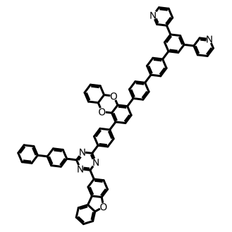 C1=CC2Oc3c(-c4ccc(-c5ccc(-c6cc(-c7cccnc7)cc(-c7cccnc7)c6)cc5)cc4)ccc(-c4ccc(-c5nc(-c6ccc(-c7ccccc7)cc6)nc(-c6ccc7oc8ccccc8c7c6)n5)cc4)c3OC2C=C1